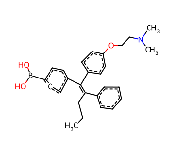 CCC/C(=C(/c1ccc(OCCN(C)C)cc1)c1ccc(B(O)O)cc1)c1ccccc1